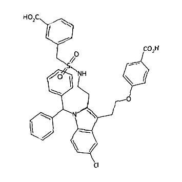 O=C(O)c1ccc(OCCc2c(CCNS(=O)(=O)Cc3cccc(C(=O)O)c3)n(C(c3ccccc3)c3ccccc3)c3ccc(Cl)cc23)cc1